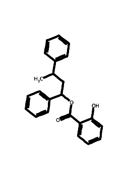 CC(CC(OC(=O)c1ccccc1O)c1ccccc1)c1ccccc1